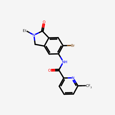 CCN1Cc2cc(NC(=O)c3cccc(C(F)(F)F)n3)c(Br)cc2C1=O